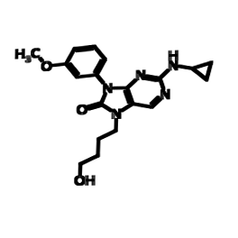 COc1cccc(-n2c(=O)n(CCCCO)c3cnc(NC4CC4)nc32)c1